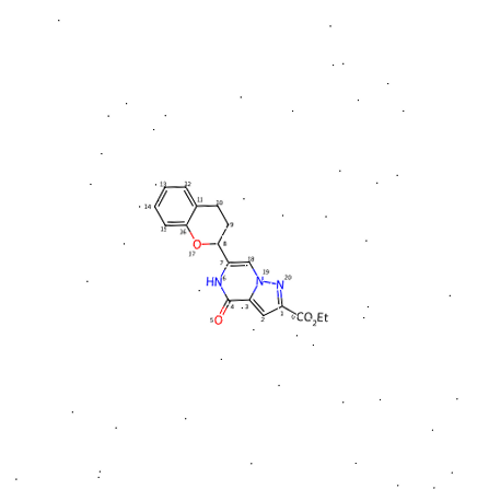 CCOC(=O)c1cc2c(=O)[nH]c(C3CCc4ccccc4O3)cn2n1